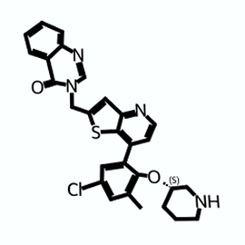 Cc1cc(Cl)cc(-c2ccnc3cc(Cn4cnc5ccccc5c4=O)sc23)c1O[C@H]1CCCNC1